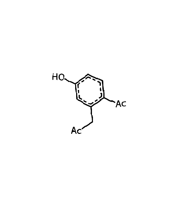 CC(=O)Cc1cc(O)ccc1C(C)=O